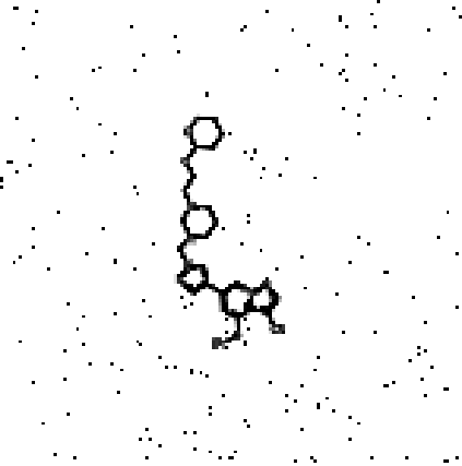 CC(C)Sc1cc(-c2cnn(C[C@@H]3CCCN(CCOC4CCCCO4)C3)c2)cn2ncc(C#N)c12